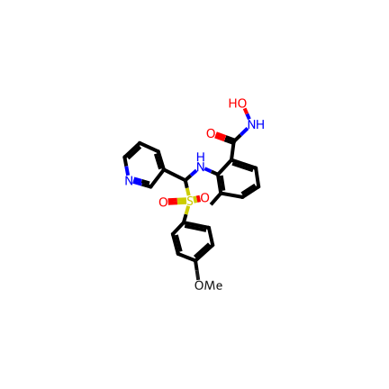 COc1ccc(S(=O)(=O)C(Nc2c(C)cccc2C(=O)NO)c2cccnc2)cc1